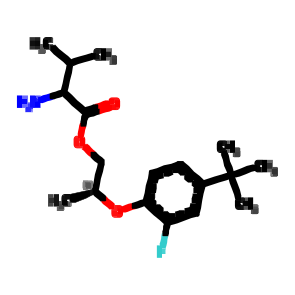 CC(C)C(N)C(=O)OC[C@H](C)Oc1ccc(C(C)(C)C)cc1F